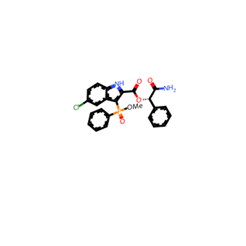 COP(=O)(c1ccccc1)c1c(C(=O)O[C@H](C(N)=O)c2ccccc2)[nH]c2ccc(Cl)cc12